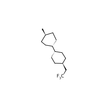 C[C@H]1CC[C@H]([C@H]2CC[C@H](CC(F)(F)F)CC2)CC1